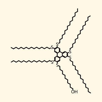 CCCCCCCCCCCCCCCCSc1cc2c(cc1SCCCCCCCCCCCO)c1cc(SCCCCCCCCCCCCCCCC)c(SCCCCCCCCCCCCCCCC)cc1c1cc(SCCCCCCCCCCCCCCCC)c(SCCCCCCCCCCCCCCCC)cc21